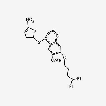 CCN(CC)CCCOc1cc2nccc(SC3CC=C([N+](=O)[O-])S3)c2cc1OC